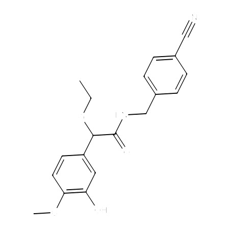 CCOC(C(=O)NCc1ccc(C#N)cc1)c1ccc(OC)c(O)c1